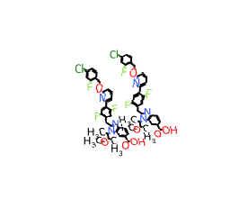 COC(C)C(C)n1c(Cc2cc(F)c(-c3cccc(OCc4ccc(Cl)cc4F)n3)cc2F)nc2ccc(C(=O)O)cc21.COC(C)C(C)n1c(Cc2cc(F)c(-c3cccc(OCc4ccc(Cl)cc4F)n3)cc2F)nc2ccc(C(=O)O)cc21